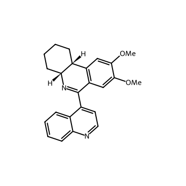 COc1cc2c(cc1OC)[C@H]1CCCC[C@H]1N=C2c1ccnc2ccccc12